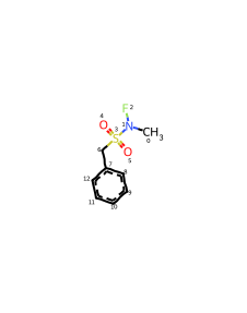 CN(F)S(=O)(=O)Cc1ccccc1